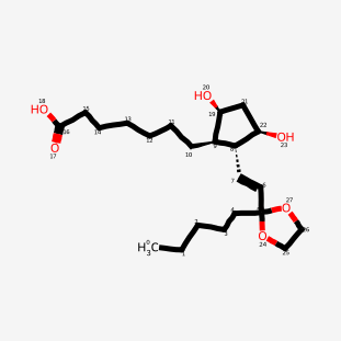 CCCCCC1(C=C[C@@H]2[C@@H](CCCCCCC(=O)O)[C@@H](O)C[C@H]2O)OCCO1